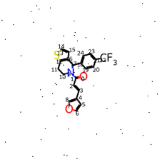 O=C(C=Cc1ccoc1)N1CCc2sccc2C1c1ccc(C(F)(F)F)cc1